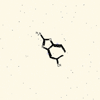 C/C=c1/oc(N)n/c1=C/C(C)C#N